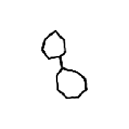 C1CCCC(C2CCCCCC2)CCC1